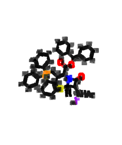 CC(=O)NC1C(=O)N2C(C(=O)OC(c3ccccc3)c3ccccc3)=C(C[P+](c3ccccc3)(c3ccccc3)c3ccccc3)CS[C@H]12.[I-]